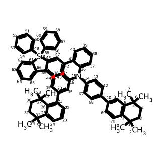 CC1(C)CCC(C)(C)c2cc(-c3ccc(N(c4cccc(-c5cccc6c5C(C)(C)CCC6(C)C)c4)c4ccccc4-c4ccc5c(c4)[Si](c4ccccc4)(c4ccccc4)c4ccccc4-5)cc3)ccc21